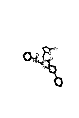 CC(C)C1CCC(Cn2c(NC(=O)c3ccccc3)nc3cc(-c4ccccc4)ccc3c2=O)O1